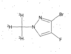 [2H]C([2H])([2H])n1cc(F)c(Br)n1